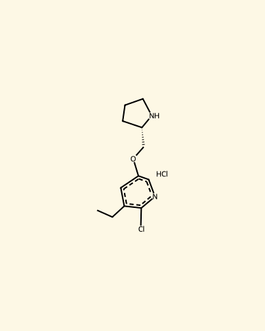 CCc1cc(OC[C@@H]2CCCN2)cnc1Cl.Cl